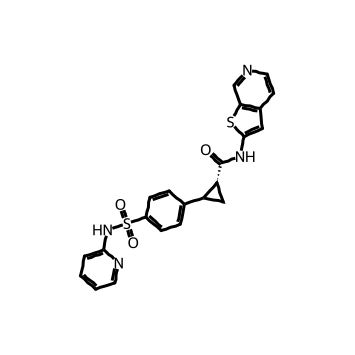 O=C(Nc1cc2ccncc2s1)[C@@H]1CC1c1ccc(S(=O)(=O)Nc2ccccn2)cc1